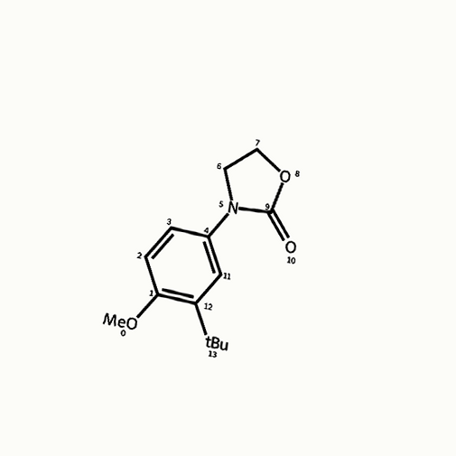 COc1ccc(N2CCOC2=O)cc1C(C)(C)C